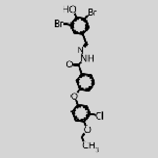 CCOc1ccc(Oc2cccc(C(=O)N/N=C/c3cc(Br)c(O)c(Br)c3)c2)cc1Cl